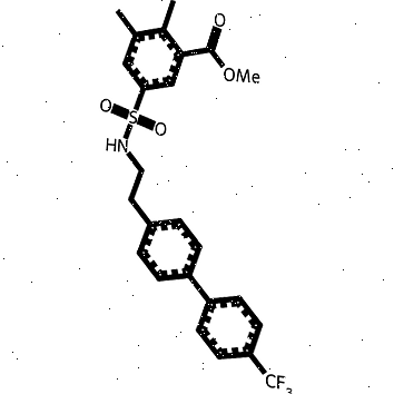 COC(=O)c1cc(S(=O)(=O)NCCc2ccc(-c3ccc(C(F)(F)F)cc3)cc2)cc(C)c1C